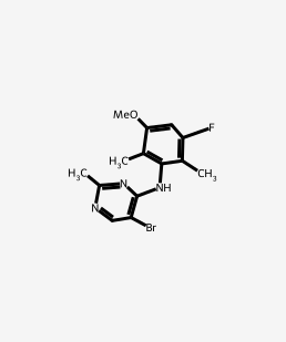 COc1cc(F)c(C)c(Nc2nc(C)ncc2Br)c1C